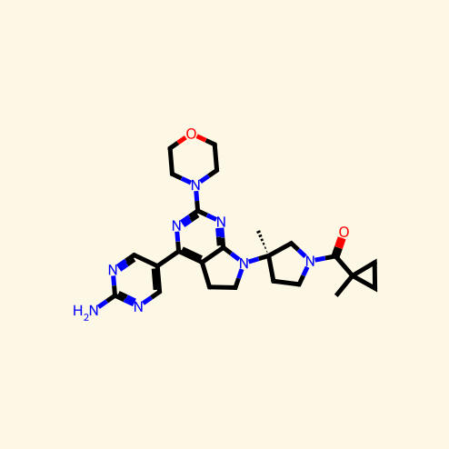 CC1(C(=O)N2CC[C@@](C)(N3CCc4c(-c5cnc(N)nc5)nc(N5CCOCC5)nc43)C2)CC1